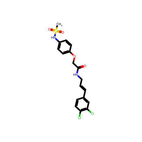 CS(=O)(=O)Nc1ccc(OCC(=O)NCC=Cc2ccc(Cl)c(Cl)c2)cc1